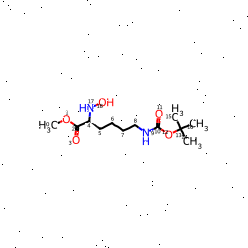 COC(=O)[C@H](CCCCNC(=O)OC(C)(C)C)NO